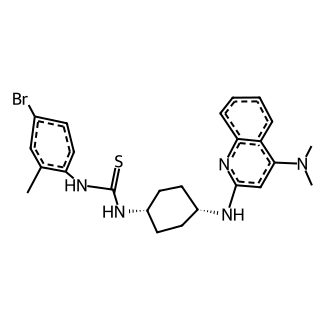 Cc1cc(Br)ccc1NC(=S)N[C@H]1CC[C@@H](Nc2cc(N(C)C)c3ccccc3n2)CC1